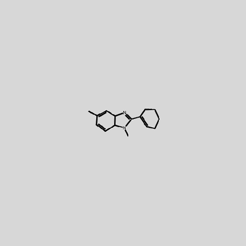 CC1=CC2N=C(C3=CCCCC3)N(C)C2C=C1